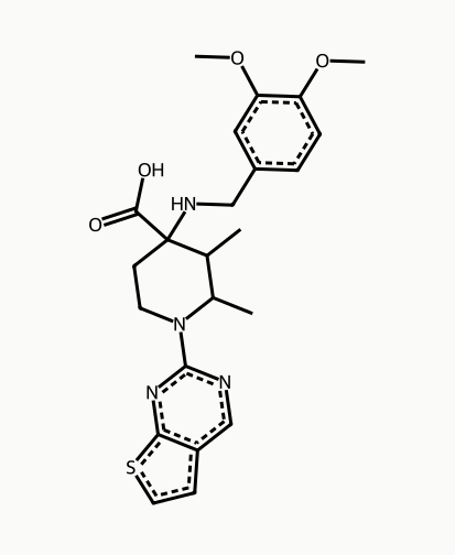 COc1ccc(CNC2(C(=O)O)CCN(c3ncc4ccsc4n3)C(C)C2C)cc1OC